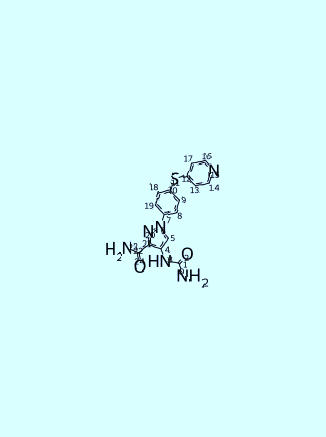 NC(=O)Nc1cn(-c2ccc(Sc3ccncc3)cc2)nc1C(N)=O